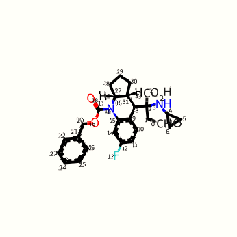 O=CCC(NC1CC1)(C(=O)O)C1c2ccc(F)cc2N(C(=O)OCc2ccccc2)[C@@H]2CCC[C@H]12